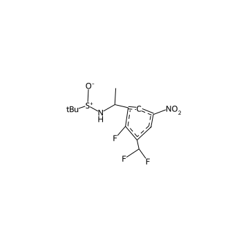 CC(N[S+]([O-])C(C)(C)C)c1cc([N+](=O)[O-])cc(C(F)F)c1F